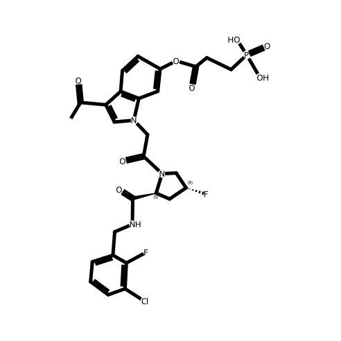 CC(=O)c1cn(CC(=O)N2C[C@H](F)C[C@H]2C(=O)NCc2cccc(Cl)c2F)c2cc(OC(=O)CCP(=O)(O)O)ccc12